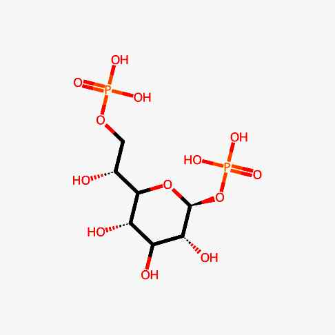 O=P(O)(O)OC[C@@H](O)C1O[C@@H](OP(=O)(O)O)[C@H](O)C(O)[C@@H]1O